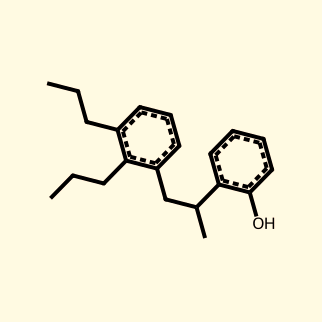 CCCc1cccc(CC(C)c2ccccc2O)c1CCC